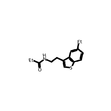 CCC(=O)NCCc1csc2ccc(CC)cc12